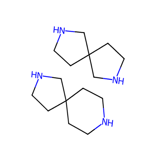 C1CC2(CCN1)CCNC2.C1CC2(CCNC2)CN1